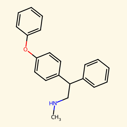 CNCC(c1ccccc1)c1ccc(Oc2ccccc2)cc1